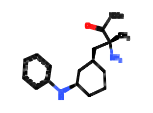 CNC(=O)[C@](C)(N)C[C@H]1CCC[C@@H](Nc2ccccc2)C1